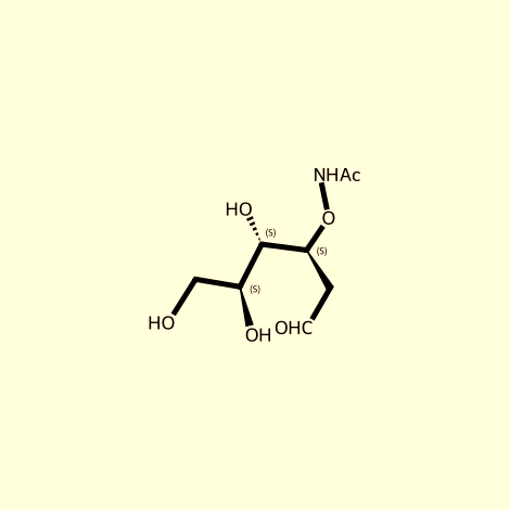 CC(=O)NO[C@@H](CC=O)[C@@H](O)[C@@H](O)CO